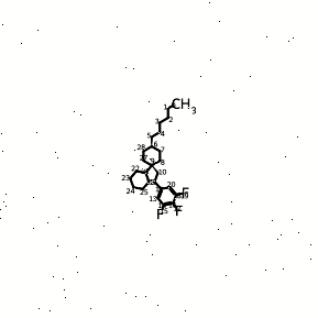 CCCCCC[C@H]1CC[C@](CCc2cc(F)c(F)c(F)c2)(C2CCCCC2)CC1